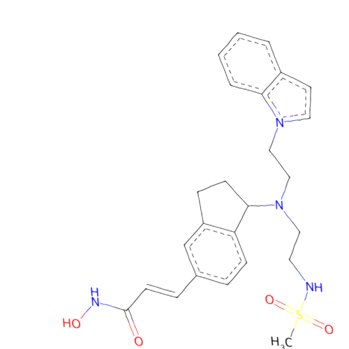 CS(=O)(=O)NCCN(CCn1ccc2ccccc21)C1CCc2cc(C=CC(=O)NO)ccc21